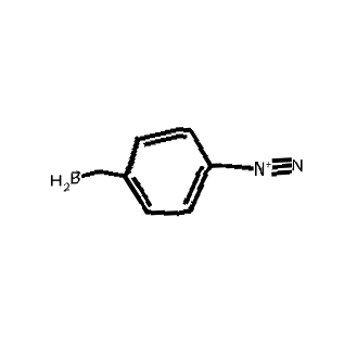 Bc1ccc([N+]#N)cc1